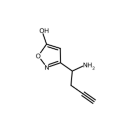 C#CCC(N)c1cc(O)on1